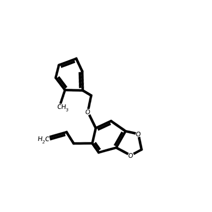 C=CCc1cc2c(cc1OCc1ccccc1C)OCO2